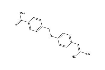 COC(=O)c1ccc(COc2ccc(C=C(C#N)C#N)cc2)cc1